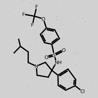 CC(C)CCN1CCC(NS(=O)(=O)c2ccc(OC(F)(F)F)cc2)(c2ccc(Cl)cc2)C1